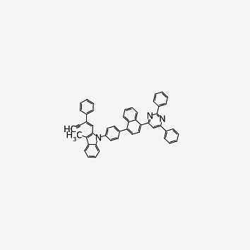 C#C/C(=C\c1c(C)c2ccccc2n1-c1ccc(-c2ccc(-c3cc(-c4ccccc4)nc(-c4ccccc4)n3)c3ccccc23)cc1)c1ccccc1